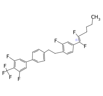 CCCC/C(F)=C(\F)c1ccc(CCc2ccc(-c3cc(F)c(C(F)(F)F)c(F)c3)cc2)c(F)c1